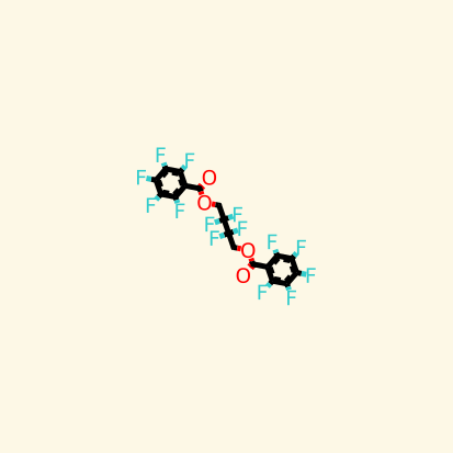 O=C(OCC(F)(F)C(F)(F)COC(=O)c1c(F)c(F)c(F)c(F)c1F)c1c(F)c(F)c(F)c(F)c1F